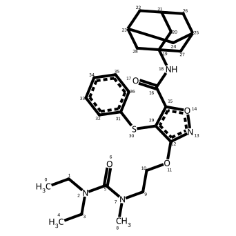 CCN(CC)C(=O)N(C)CCOc1noc(C(=O)NC23CC4CC(CC(C4)C2)C3)c1Sc1ccccc1